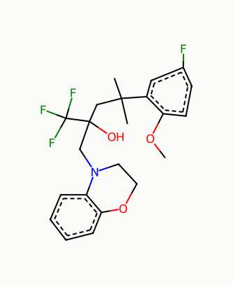 COc1ccc(F)cc1C(C)(C)CC(O)(CN1CCOc2ccccc21)C(F)(F)F